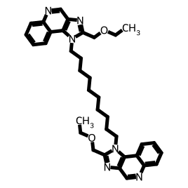 CCOCc1nc2cnc3ccccc3c2n1CCCCCCCCCCn1c(COCC)nc2cnc3ccccc3c21